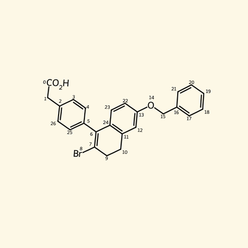 O=C(O)Cc1ccc(C2=C(Br)CCc3cc(OCc4ccccc4)ccc32)cc1